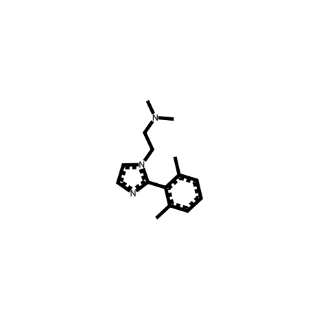 Cc1cccc(C)c1-c1nccn1CCN(C)C